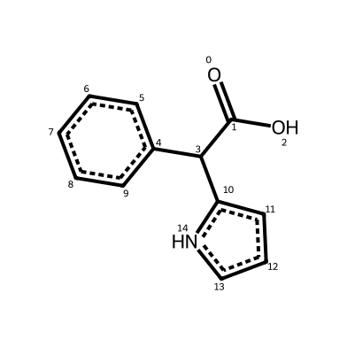 O=C(O)C(c1ccccc1)c1ccc[nH]1